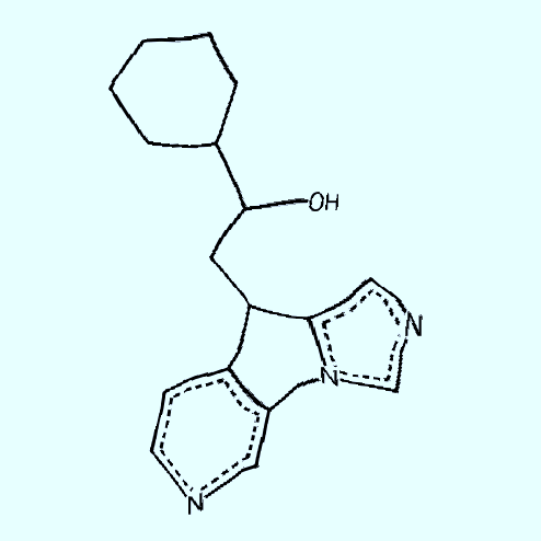 OC(CC1c2ccncc2-n2cncc21)C1CCCCC1